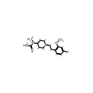 COc1cc(F)ccc1CCN1CCC(N(C)C(=O)O)CC1